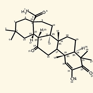 CC1(C)CC[C@]2(C(N)=O)CC[C@]3(C)[C@H](C(=O)CC4[C@@]5(C)C=C(C#N)C(=O)C(C)(C)[C@@H]5CC[C@]43C)[C@@H]2C1